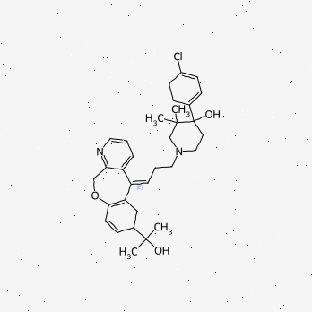 CC(C)(O)C1C=CC2=C(C1)/C(=C/CCN1CCC(O)(C3=CC=C(Cl)CC3)C(C)(C)C1)c1cccnc1CO2